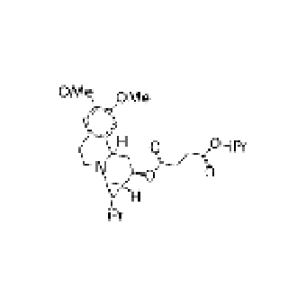 COc1cc2c(cc1OC)[C@H]1C[C@@H](OC(=O)CCC(=O)OC(C)C)[C@@H]3C(C(C)C)C3N1CC2